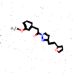 COc1cccc(CC(=O)n2ccc(/C=C/c3ccco3)n2)c1